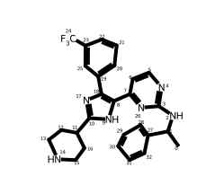 CC(Nc1nccc(-c2[nH]c(C3CCNCC3)nc2-c2cccc(C(F)(F)F)c2)n1)c1ccccc1